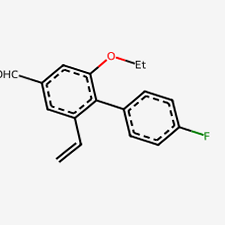 C=Cc1cc(C=O)cc(OCC)c1-c1ccc(F)cc1